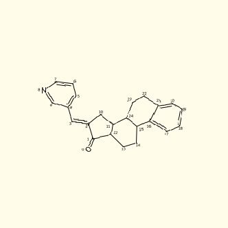 O=C1/C(=C/c2cccnc2)CC2C1CCC1c3ccccc3CCC12